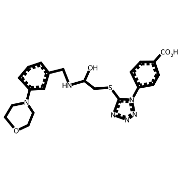 O=C(O)c1ccc(-n2nnnc2SCC(O)NCc2cccc(N3CCOCC3)c2)cc1